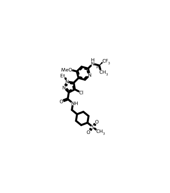 CCn1nc(C(=O)NCC2CCC(S(C)(=O)=O)CC2)c(Cl)c1-c1cnc(N[C@H](C)C(F)(F)F)cc1OC